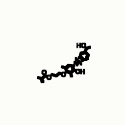 C=C(C)C(=O)OCCCOc1c(C)cc(-n2n3c4ccc(C(C)O)cc4n23)c(O)c1C